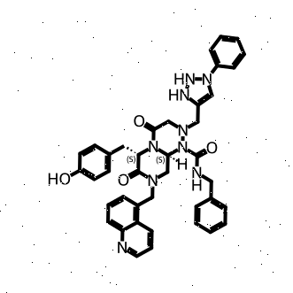 O=C1[C@H](Cc2ccc(O)cc2)N2C(=O)CN(CC3=CN(c4ccccc4)NN3)N(C(=O)NCc3ccccc3)[C@H]2CN1Cc1cccc2ncccc12